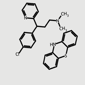 CN(C)CCC(c1ccc(Cl)cc1)c1ccccn1.c1ccc2c(c1)Nc1ccccc1S2